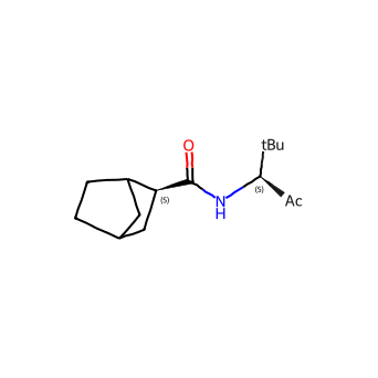 CC(=O)[C@@H](NC(=O)[C@H]1CC2CCC1C2)C(C)(C)C